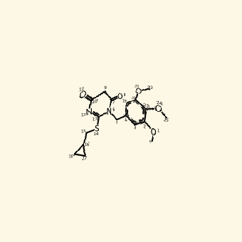 COc1cc(CN2C(=O)CC(=O)N=C2SCC2CC2)cc(OC)c1OC